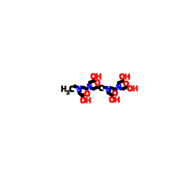 CCN(CCN(CCCCN(CCN(CCO)CC(=O)O)CC(=O)O)CC(=O)O)CC(=O)O